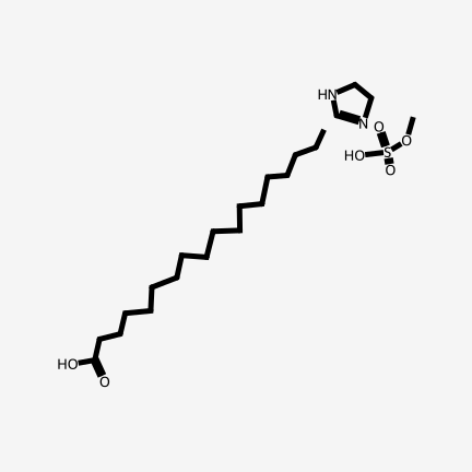 C1=NCCN1.CCCCCCCCCCCCCCCCCC(=O)O.COS(=O)(=O)O